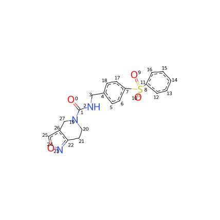 O=C(NCc1ccc(S(=O)(=O)c2ccccc2)cc1)N1CCc2nocc2C1